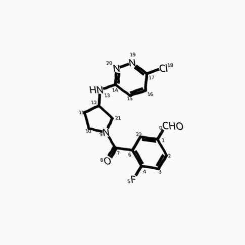 O=Cc1ccc(F)c(C(=O)N2CCC(Nc3ccc(Cl)nn3)C2)c1